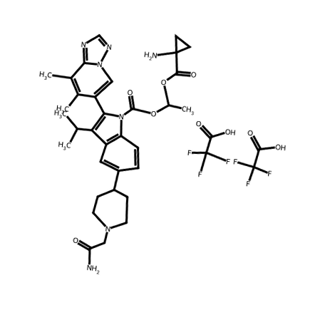 Cc1c(-c2c(C(C)C)c3cc(C4CCN(CC(N)=O)CC4)ccc3n2C(=O)OC(C)OC(=O)C2(N)CC2)cn2ncnc2c1C.O=C(O)C(F)(F)F.O=C(O)C(F)(F)F